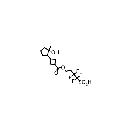 CC1(O)CCCC1C1CC(C(=O)OCCC(F)(F)C(F)(F)S(=O)(=O)O)C1